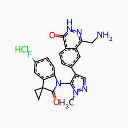 Cl.Cn1ncc(-c2ccc3c(=O)[nH]nc(CN)c3c2)c1N1C(=O)C2(CC2)c2cc(F)ccc21